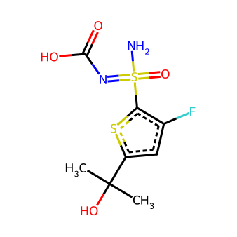 CC(C)(O)c1cc(F)c(S(N)(=O)=NC(=O)O)s1